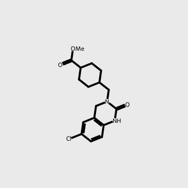 COC(=O)C1CCC(CN2Cc3cc(Cl)ccc3NC2=O)CC1